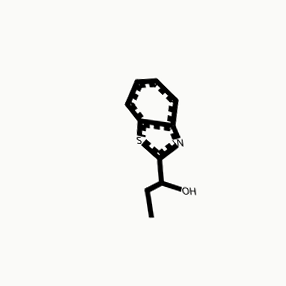 CCC(O)c1nc2ccccc2s1